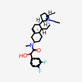 C[C@H]1[C@H]2CC[C@H]3[C@@H]4CC=C5C[C@@H](N(C)C(=O)C(O)c6ccc(F)c(F)c6)CC[C@]5(C)[C@H]4CC[C@]23CN1C